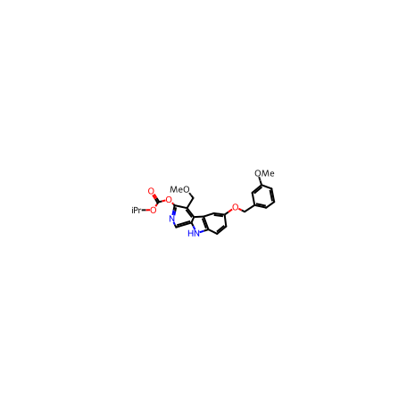 COCc1c(OC(=O)OC(C)C)ncc2[nH]c3ccc(OCc4cccc(OC)c4)cc3c12